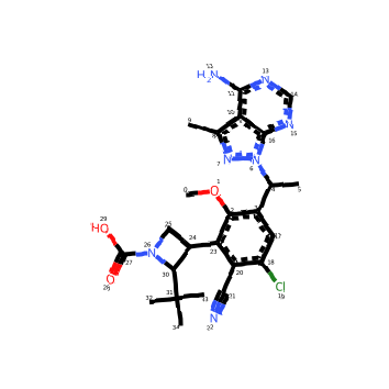 COc1c(C(C)n2nc(C)c3c(N)ncnc32)cc(Cl)c(C#N)c1C1CN(C(=O)O)C1C(C)(C)C